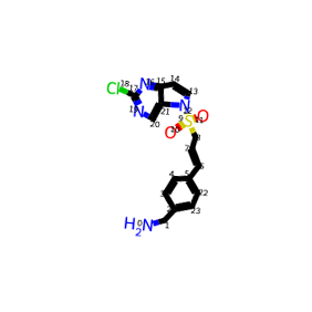 NCc1ccc(C=CCS(=O)(=O)n2ccc3nc(Cl)ncc32)cc1